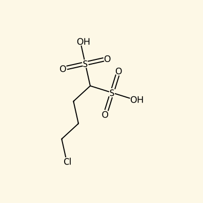 O=S(=O)(O)C(CCCCl)S(=O)(=O)O